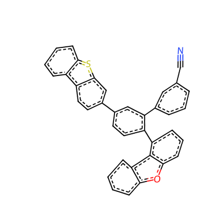 N#Cc1cccc(-c2cc(-c3ccc4c(c3)sc3ccccc34)ccc2-c2cccc3oc4ccccc4c23)c1